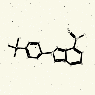 CC(C)(C)c1ccc(-n2cc3cccc([N+](=O)[O-])c3c2)cc1